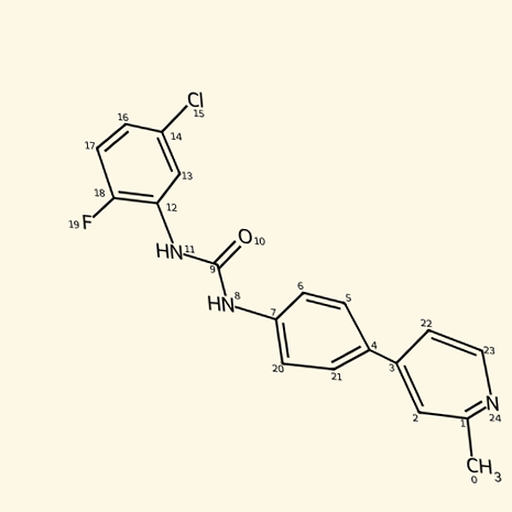 Cc1cc(-c2ccc(NC(=O)Nc3cc(Cl)ccc3F)cc2)ccn1